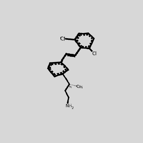 NCC[C@@H](O)c1cccc(C=Cc2c(Cl)cccc2Cl)c1